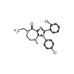 CN1CCN(CC(F)(F)F)C(=O)c2nc(-c3ccccc3Cl)n(-c3ccc(Cl)cc3)c21